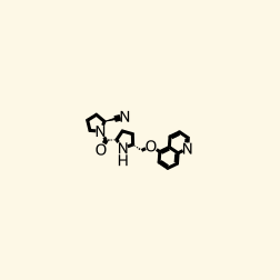 N#C[C@@H]1CCCN1C(=O)[C@@H]1CC[C@H](COc2cccc3ncccc23)N1